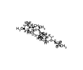 CC1=C2C[C@H]3[C@@H](CC[C@@H]4CC(C#[N+]S(C)(=O)=O)CC[C@@]43C)[C@@H]2CC[C@@]2(C1)O[C@@H]1C[C@H](C)CN(C(C)(C)C)[C@H]1[C@H]2C